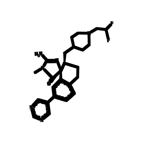 CN1C(=O)[C@@]2(N=C1N)c1cc(-c3cncnc3)ccc1CC[C@@H]2CC1CCN(CC(F)F)CC1